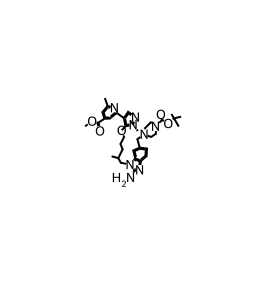 COC(=O)c1cc(C)nc(-c2cnn(C)c2OCCCC(C)Cn2c(N)nc3ccc(CN4CCN(C(=O)OC(C)(C)C)CC4)cc32)c1